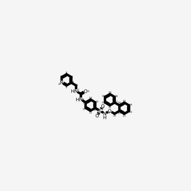 O=C(NCc1cccnc1)Nc1ccc(S(=O)(=O)NOCc2ccccc2-c2ccccc2)cc1